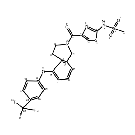 CS(=O)(=O)Nc1nc(C(=O)N2CCc3c(cccc3Oc3ccc(C(F)(F)F)cc3)C2)cs1